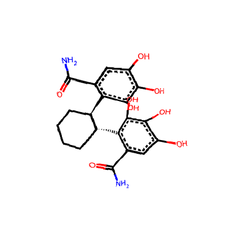 NC(=O)c1cc(O)c(O)c(O)c1[C@@H]1CCCC[C@H]1c1c(C(N)=O)cc(O)c(O)c1O